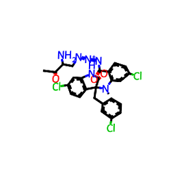 CC(=O)C(N)CN=[N+]=NC(=O)c1ccc(Cl)cc1N(C)C1(Cc2cccc(Cl)c2)C(=O)Nc2cc(Cl)ccc21